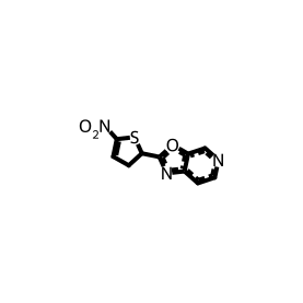 O=[N+]([O-])C1=CCC(c2nc3ccncc3o2)S1